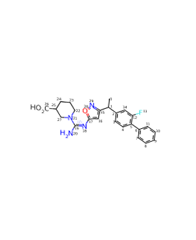 CC(c1ccc(-c2ccccc2)c(F)c1)c1cc(/N=C(/N)N2CCCC(C(=O)O)C2)on1